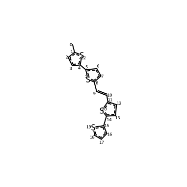 Cc1ccc(-c2ccc(/C=C/c3ccc(-c4cccs4)s3)s2)s1